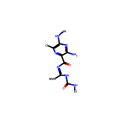 CCNC(=O)N/C(=N\C(=O)c1nc(Cl)c(NC(C)C)nc1N)NC